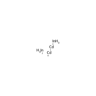 [Cd].[Cd].[InH3].[InH3]